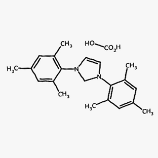 Cc1cc(C)c(N2C=CN(c3c(C)cc(C)cc3C)C2)c(C)c1.O=C(O)O